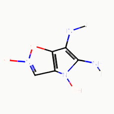 CCNc1c(NCC)n(O)c2c[n+]([O-])oc12